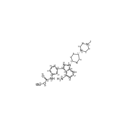 CN1CCN([C@H]2CC[C@@H](n3nc(-c4cccc(NC(=O)OC(C)(C)C)c4)c4c(N)ncnc43)CC2)CC1